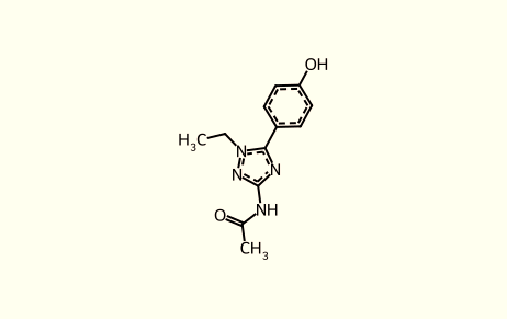 CCn1nc(NC(C)=O)nc1-c1ccc(O)cc1